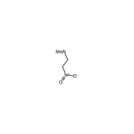 CNCC[N+](=O)[O-]